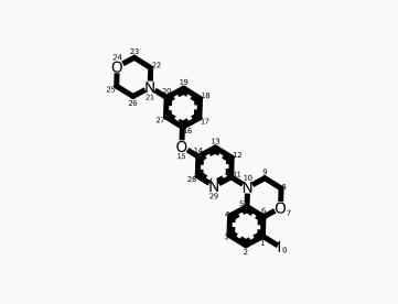 Ic1cccc2c1OCCN2c1ccc(Oc2cccc(N3CCOCC3)c2)cn1